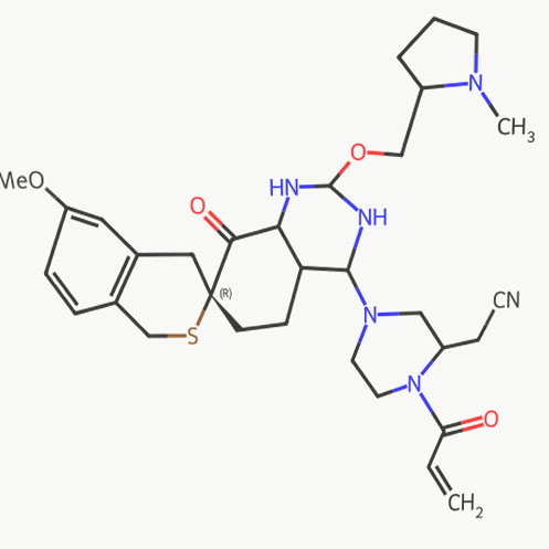 C=CC(=O)N1CCN(C2NC(OCC3CCCN3C)NC3C(=O)[C@@]4(CCC32)Cc2cc(OC)ccc2CS4)CC1CC#N